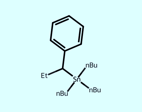 CCC[CH2][Sn]([CH2]CCC)([CH2]CCC)[CH](CC)c1ccccc1